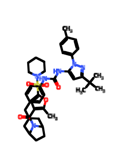 Cc1ccc(-n2nc(C(C)(C)C)cc2NC(=O)Nc2ccc(CC3CC4CCC(C3)N4C(=O)c3cc(S(=O)(=O)N4CCCCC4)oc3C)cc2)cc1